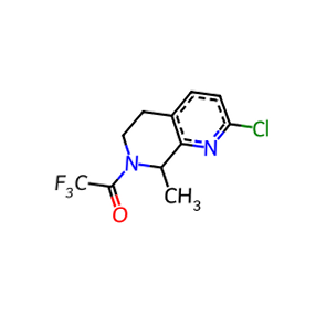 CC1c2nc(Cl)ccc2CCN1C(=O)C(F)(F)F